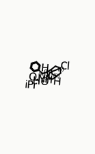 CC(C)C(=O)N[C@@H](c1ccccc1)[C@H]1C2C[C@H]3C[C@](Cl)(C2)C[C@@]1(O)C3